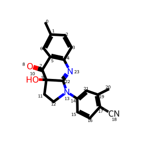 Cc1ccc2c(c1)C(=O)C1(O)CCN(c3ccc(C#N)c(C)c3)C1=N2